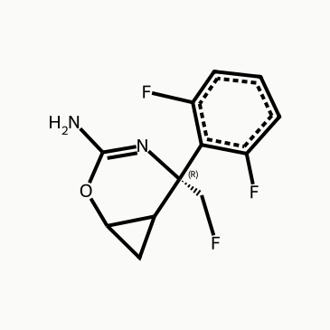 NC1=N[C@@](CF)(c2c(F)cccc2F)C2CC2O1